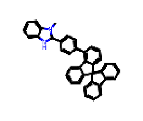 CN1c2ccccc2NC1c1ccc(-c2cccc3c2-c2ccccc2C32c3ccccc3-c3ccccc32)cc1